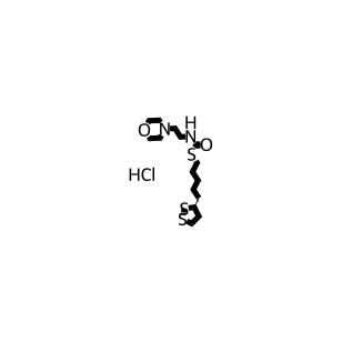 Cl.O=C(NCCN1CCOCC1)SCCCCC[C@@H]1CCSS1